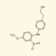 COc1ccc(Nc2ccc(CCO)cc2)c([N+](=O)[O-])c1